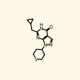 O=c1[nH]c(CC2CC2)nc2c1cnn2C1CCSCC1